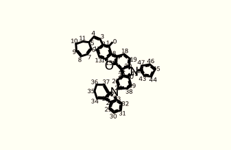 Cc1c(/C=C\C2C=CC=CCC2)ccc2oc3c(ccc4c3c3cc(-n5c6c(c7ccccc75)=CCCC=6)ccc3n4-c3ccccc3)c12